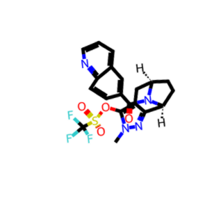 Cn1nc2c(c1OS(=O)(=O)C(F)(F)F)C[C@H]1CC[C@@H]2N1C(=O)c1ccc2ncccc2c1